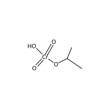 CC(C)[O][Cr](=[O])(=[O])[OH]